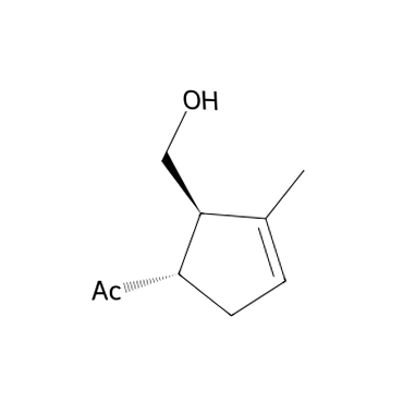 CC(=O)[C@H]1CC=C(C)[C@@H]1CO